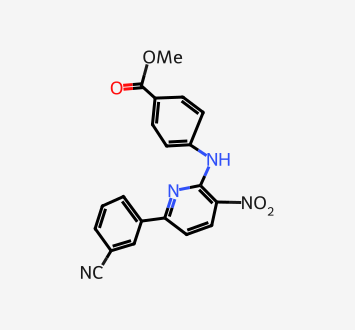 COC(=O)c1ccc(Nc2nc(-c3cccc(C#N)c3)ccc2[N+](=O)[O-])cc1